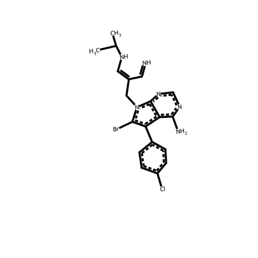 CC(C)N/C=C(\C=N)Cn1c(Br)c(-c2ccc(Cl)cc2)c2c(N)ncnc21